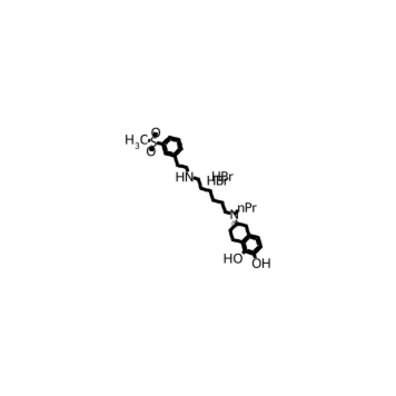 Br.Br.CCCN(CCCCCCNCCc1cccc(S(C)(=O)=O)c1)[C@H]1CCc2c(ccc(O)c2O)C1